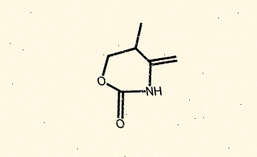 C=C1NC(=O)OCC1C